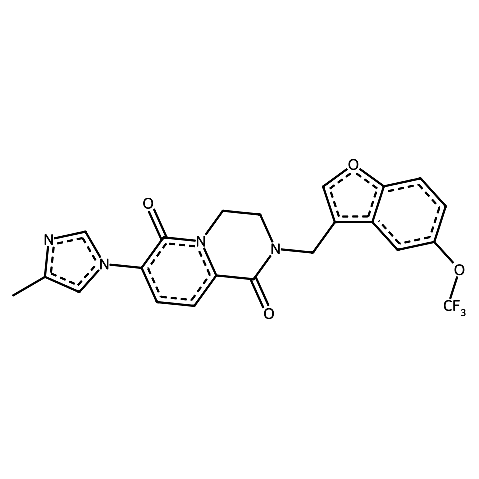 Cc1cn(-c2ccc3n(c2=O)CCN(Cc2coc4ccc(OC(F)(F)F)cc24)C3=O)cn1